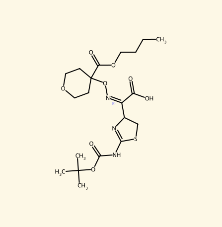 CCCCOC(=O)C1(O/N=C(\C(=O)O)C2CSC(NC(=O)OC(C)(C)C)=N2)CCOCC1